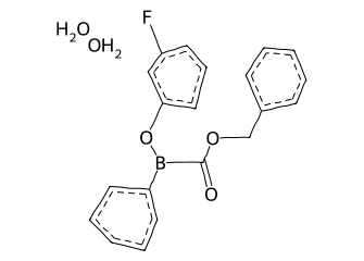 O.O.O=C(OCc1ccccc1)B(Oc1cccc(F)c1)c1ccccc1